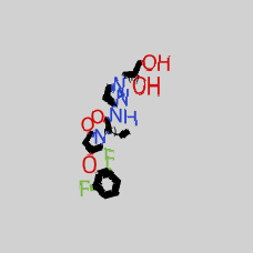 CC[C@@H](C(=O)Nc1ccn(C[C@@H](O)CO)n1)N1CC(Oc2c(F)cccc2F)=CC1=O